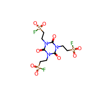 O=c1n(CCS(=O)(=O)F)c(=O)n(CCS(=O)(=O)F)c(=O)n1CCS(=O)(=O)F